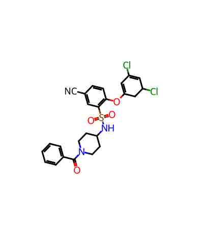 N#Cc1ccc(OC2=CC(Cl)=CC(Cl)C2)c(S(=O)(=O)NC2CCN(C(=O)c3ccccc3)CC2)c1